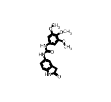 COc1cc(NC(=O)Nc2ccc3c(c2)CC(=O)N3)cc(OC)c1OC